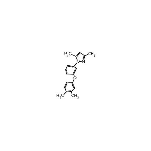 Cc1cc(C)n(-c2cccc(Oc3ccc(C)c(C)c3)c2)n1